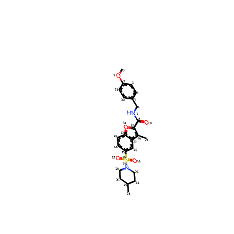 COc1ccc(CNC(=O)c2oc3ccc(S(=O)(=O)N4CCC(C)CC4)cc3c2C)cc1